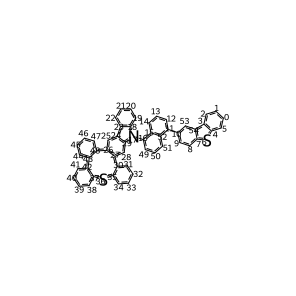 c1ccc2c(c1)sc1ccc(-c3cccc4c(-n5c6ccccc6c6cc7c(cc65)c5ccccc5sc5ccccc5c5ccccc57)cccc34)cc12